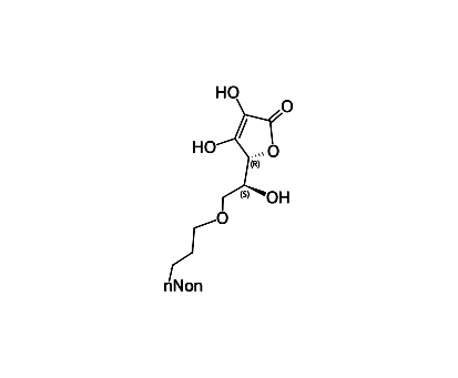 CCCCCCCCCCCCOC[C@H](O)[C@H]1OC(=O)C(O)=C1O